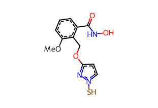 COc1cccc(C(=O)NO)c1COc1ccn(S)n1